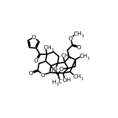 COC(=O)CC1C2(C)CC34OC5(C)OC67C(CC(=O)OC6C3(O)C2C)C(C)(C(=O)c2ccoc2)CCC7(O5)C14C